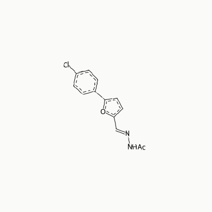 CC(=O)N/N=C/c1ccc(-c2ccc(Cl)cc2)o1